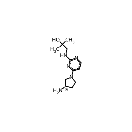 CC(C)(O)CNc1nccc(N2CC[C@@H](N)C2)n1